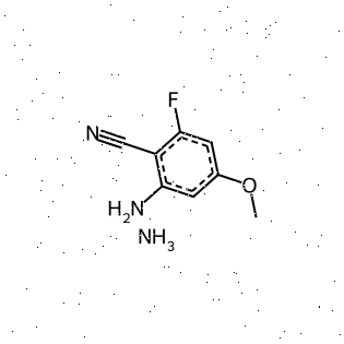 COc1cc(N)c(C#N)c(F)c1.N